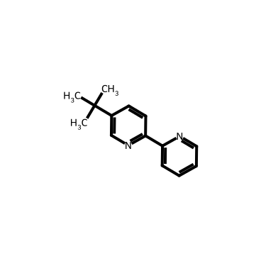 CC(C)(C)c1ccc(-c2ccccn2)nc1